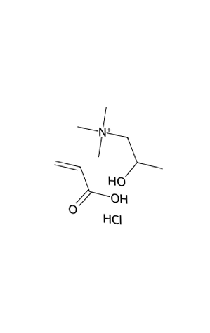 C=CC(=O)O.CC(O)C[N+](C)(C)C.Cl